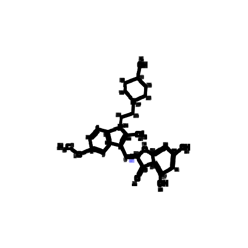 COc1ccc2c(c1)c(/C=C1\Oc3cc(O)cc(O)c3C1=O)c(C)n2CCN1CCC(O)CC1